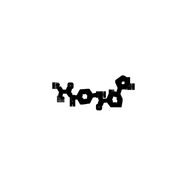 CCC(CC)C(=O)Nc1ccc(NC(=O)c2cccc(-c3ccn[nH]3)n2)cc1